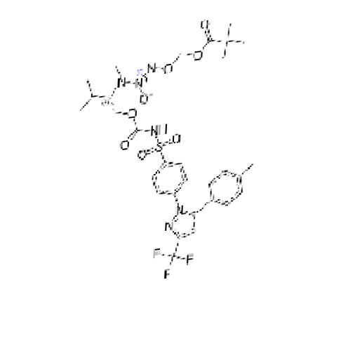 Cc1ccc(-c2cc(C(F)(F)F)nn2-c2ccc(S(=O)(=O)NC(=O)OC[C@H](C(C)C)N(C)/[N+]([O-])=N/OCOC(=O)C(C)(C)C)cc2)cc1